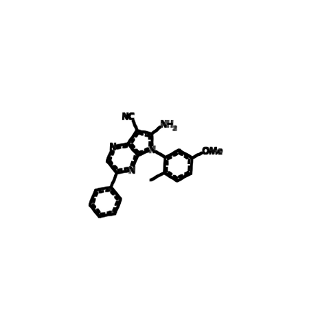 COc1ccc(C)c(-n2c(N)c(C#N)c3ncc(-c4ccccc4)nc32)c1